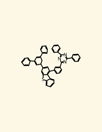 C1=C(c2ccccc2)C=C(c2ccccc2)CC1c1cc(-c2cccc(-c3nc(-c4ccccc4)nc(-c4ccccc4)n3)c2)c2c(c1)sc1ccccc12